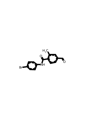 Cc1cc(C=O)ccc1C(=O)Nc1ccc(Br)cc1